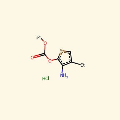 CCc1csc(OC(=O)OC(C)C)c1N.Cl